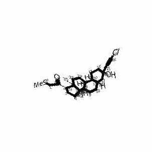 CSCC(=O)[C@H]1CC[C@H]2[C@@H]3CC[C@@H]4C[C@@](O)(C#CCl)CC[C@@H]4[C@H]3CC[C@]12C